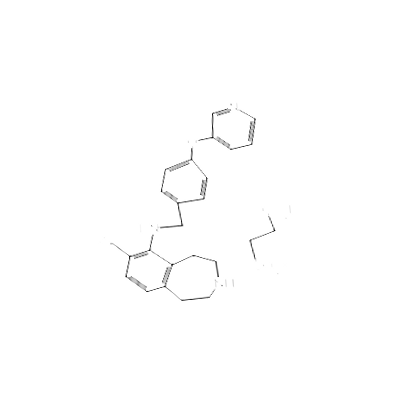 Clc1ccc2c(c1NCc1ccc(Oc3cccnc3)cc1)CCNCC2.O=C(O)CCC(=O)O